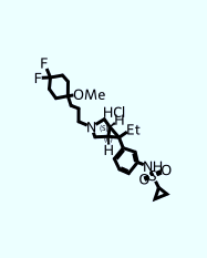 CCC1(c2cccc(NS(=O)(=O)C3CC3)c2)[C@@H]2CN(CCCC3(OC)CCC(F)(F)CC3)C[C@@H]21.Cl